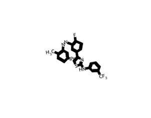 Cc1ccc(C(C)C)cc1/N=N\c1cc(-c2csc(Nc3cccc(C(F)(F)F)c3)n2)ccc1F